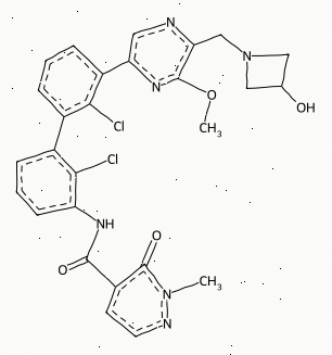 COc1nc(-c2cccc(-c3cccc(NC(=O)c4ccnn(C)c4=O)c3Cl)c2Cl)cnc1CN1CC(O)C1